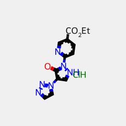 CCOC(=O)c1ccc(-n2[nH]cc(-n3ccnn3)c2=O)nc1.Cl